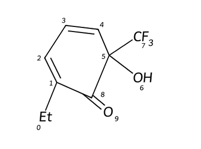 CCC1=CC=CC(O)(C(F)(F)F)C1=O